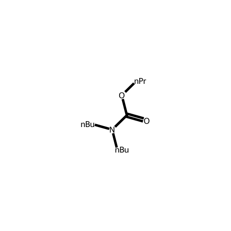 CCCCN(CCCC)C(=O)OCCC